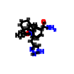 COC1(c2cccc(C(N)=O)c2)[C@@H]2CCC[C@H]1CN(CCc1c[nH]nn1)C2